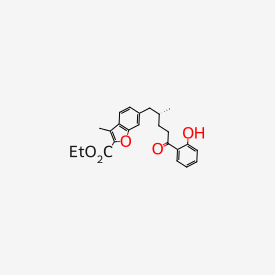 CCOC(=O)c1oc2cc(C[C@H](C)CCC(=O)c3ccccc3O)ccc2c1C